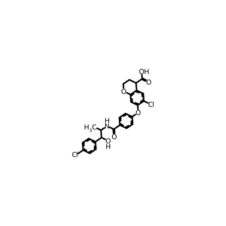 CC(NC(=O)c1ccc(Oc2cc3c(cc2Cl)C(C(=O)O)CCO3)cc1)C(O)c1ccc(Cl)cc1